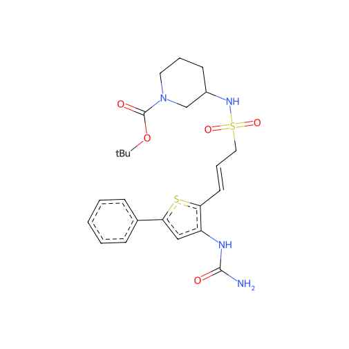 CC(C)(C)OC(=O)N1CCCC(NS(=O)(=O)CC=Cc2sc(-c3ccccc3)cc2NC(N)=O)C1